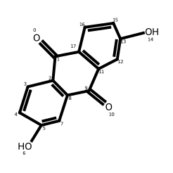 O=C1c2ccc(O)cc2C(=O)c2cc(O)ccc21